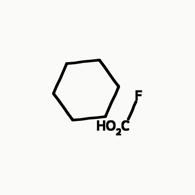 C1CCCCC1.O=C(O)F